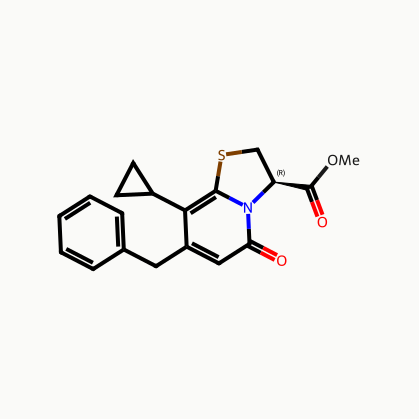 COC(=O)[C@@H]1CSc2c(C3CC3)c(Cc3ccccc3)cc(=O)n21